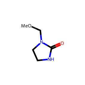 COCN1CCNC1=O